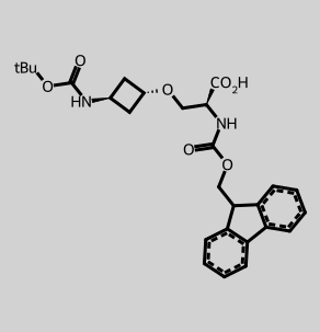 CC(C)(C)OC(=O)N[C@H]1C[C@H](OC[C@H](NC(=O)OCC2c3ccccc3-c3ccccc32)C(=O)O)C1